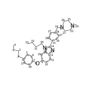 CCCCc1ccc(Oc2ccc3nc(-c4ccc(CN5CCN(C)CC5)cc4)n(CCCC)c3c2)cc1